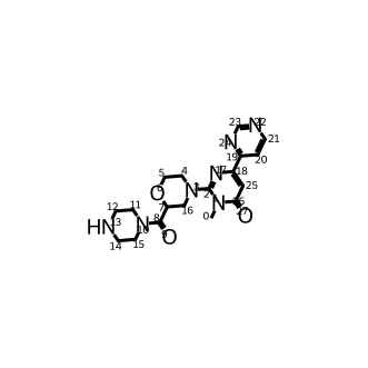 Cn1c(N2CCOC(C(=O)N3CCNCC3)C2)nc(-c2ccncn2)cc1=O